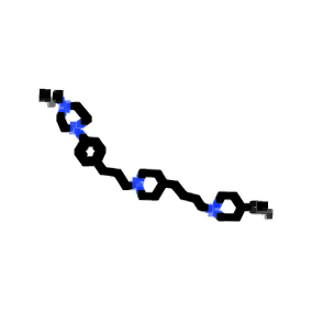 CC1CCN(CCCCC2CCN(CCCc3ccc(N4CCN(C)CC4)cc3)CC2)CC1